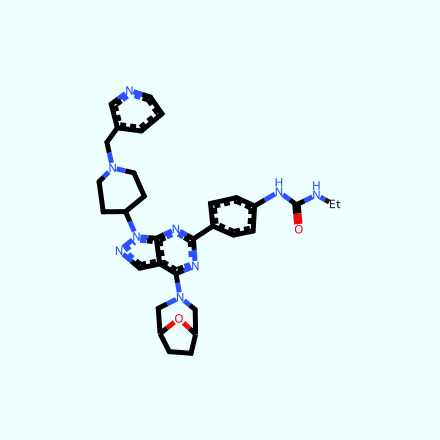 CCNC(=O)Nc1ccc(-c2nc(N3CC4CCC(C3)O4)c3cnn(C4CCN(Cc5cccnc5)CC4)c3n2)cc1